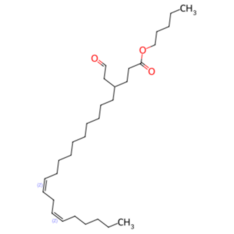 CCCCC/C=C\C/C=C\CCCCCCCCCC(CC=O)CCC(=O)OCCCCC